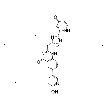 O=c1cc[nH]c(-c2noc(Cc3nc(=O)c4cc(-c5ccc(O)nc5)ccc4[nH]3)n2)c1